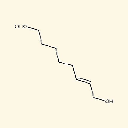 O=CCCCCCC=CCO